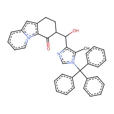 Cc1c(C(O)C2CCc3cc4ccccn4c3C2=O)ncn1C(c1ccccc1)(c1ccccc1)c1ccccc1